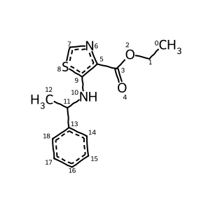 CCOC(=O)c1ncsc1NC(C)c1ccccc1